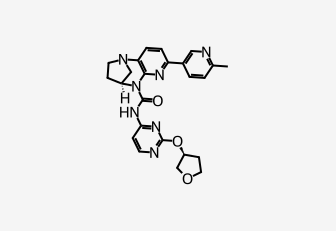 Cc1ccc(-c2ccc3c(n2)N(C(=O)Nc2ccnc(O[C@H]4CCOC4)n2)[C@H]2CCN3C2)cn1